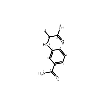 CC(Nc1cccc(C(N)=O)c1)C(=O)O